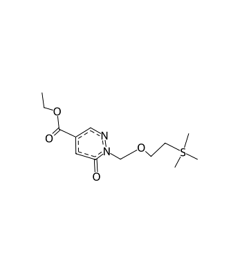 CCOC(=O)c1cnn(COCCS(C)(C)C)c(=O)c1